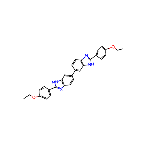 CCOc1ccc(-c2nc3ccc(-c4ccc5nc(-c6ccc(OCC)cc6)[nH]c5c4)cc3[nH]2)cc1